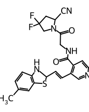 Cc1ccc2c(c1)SC(C=Cc1cnccc1C(=O)NCC(=O)N1CC(F)(F)CC1C#N)N2